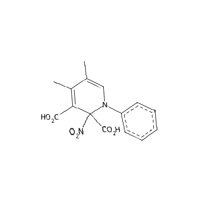 CC1=CN(c2ccccc2)C(C(=O)O)([N+](=O)[O-])C(C(=O)O)=C1C